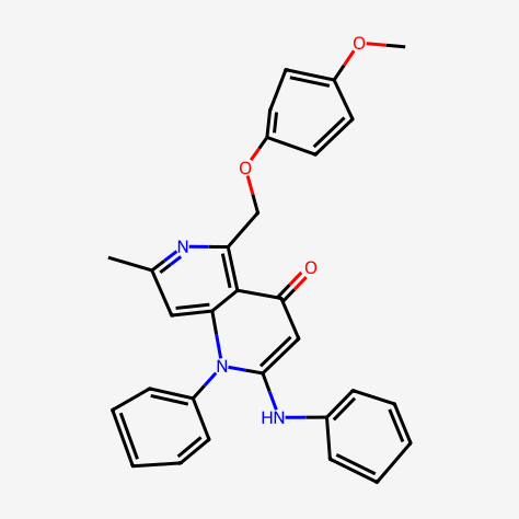 COc1ccc(OCc2nc(C)cc3c2c(=O)cc(Nc2ccccc2)n3-c2ccccc2)cc1